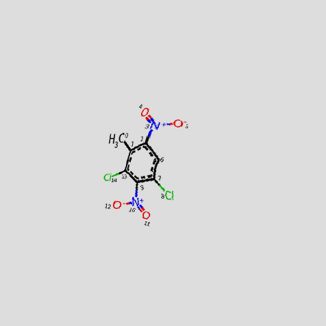 Cc1c([N+](=O)[O-])cc(Cl)c([N+](=O)[O-])c1Cl